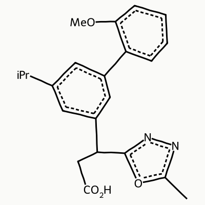 COc1ccccc1-c1cc(C(C)C)cc(C(CC(=O)O)c2nnc(C)o2)c1